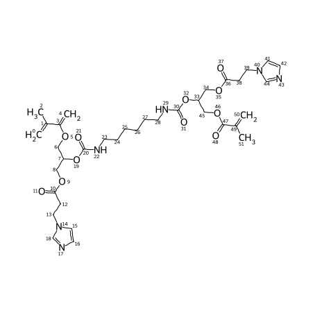 C=C(C)C(=C)OCC(COC(=O)CCn1ccnc1)OC(=O)NCCCCCCNC(=O)OC(COC(=O)CCn1ccnc1)COC(=O)C(=C)C